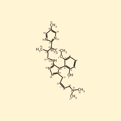 COc1cccc(O)c1-n1c(C/C=C\CN(C)C)nnc1NSC(C)C(C)c1ncc(C)cn1